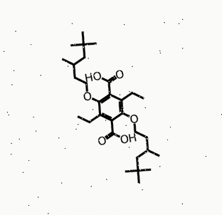 CCc1c(OCCC(C)CC(C)(C)C)c(C(=O)O)c(CC)c(OCCC(C)CC(C)(C)C)c1C(=O)O